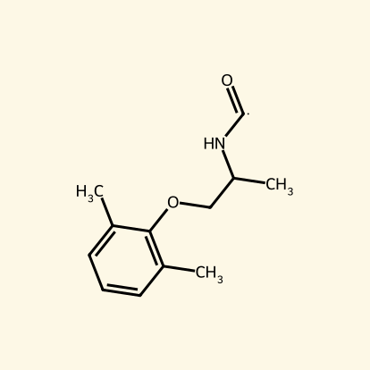 Cc1cccc(C)c1OCC(C)N[C]=O